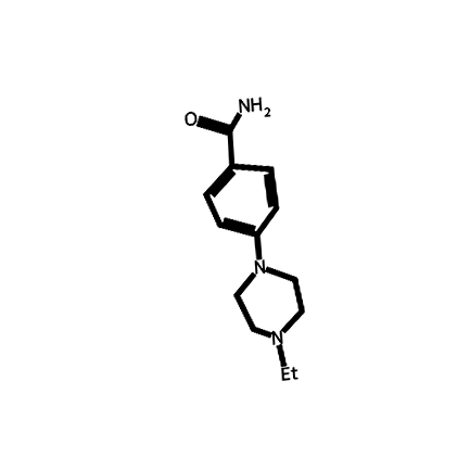 CCN1CCN(c2ccc(C(N)=O)cc2)CC1